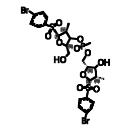 C[C@H]1C(O)[C@@H](COP(C)(=O)OC2[C@@H](CO)O[C@@H](S(=O)(=O)c3ccc(Br)cc3)[C@H]2C)O[C@H]1S(=O)(=O)c1ccc(Br)cc1